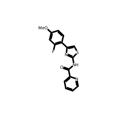 COc1ccc(-c2csc(NC(=O)c3ccccn3)n2)c(F)c1